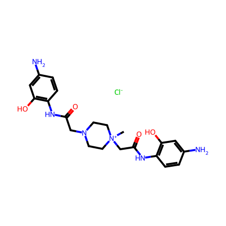 C[N+]1(CC(=O)Nc2ccc(N)cc2O)CCN(CC(=O)Nc2ccc(N)cc2O)CC1.[Cl-]